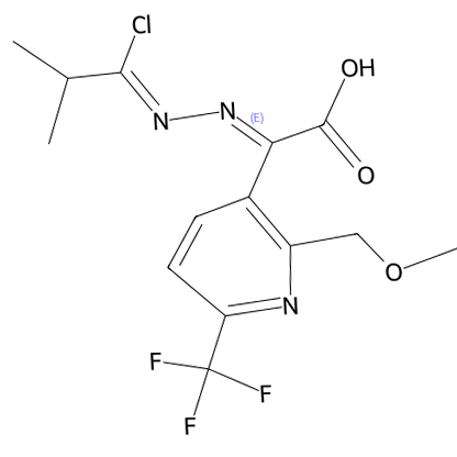 COCc1nc(C(F)(F)F)ccc1/C(=N\N=C(Cl)C(C)C)C(=O)O